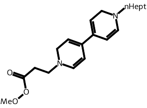 CCCCCCCN1C=CC(C2=CCN(CCC(=O)OOC)C=C2)=CC1